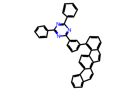 c1ccc(-c2nc(-c3ccccc3)nc(-c3cccc(-c4cccc5ccc6c7ccc8ccccc8c7ccc6c45)c3)n2)cc1